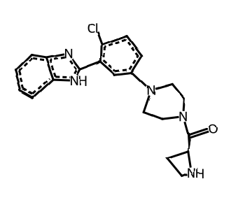 O=C([C@@H]1CCN1)N1CCN(c2ccc(Cl)c(-c3nc4ccccc4[nH]3)c2)CC1